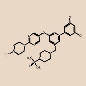 CN1CCN(c2ncc(Oc3cc(CN4CCC(P(C)(C)=O)CC4)cc(-c4cc(Cl)cc(Cl)c4)n3)cn2)CC1